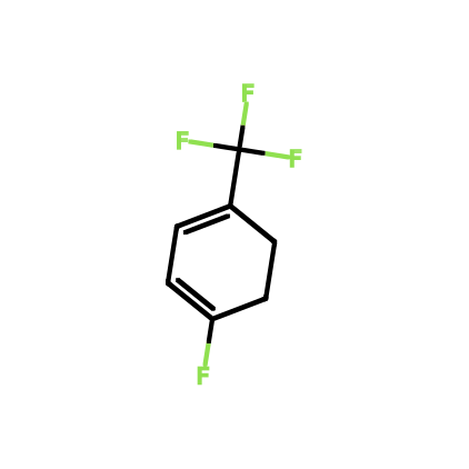 FC1=CC=C(C(F)(F)F)CC1